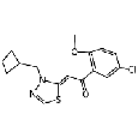 COc1ccc(Cl)cc1C(=O)/C=C1\SC=NN1CC1CCC1